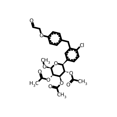 CO[C@H]1O[C@@H](c2ccc(Cl)c(Cc3ccc(OCC=O)cc3)c2)[C@H](OC(C)=O)[C@@H](OC(C)=O)[C@@H]1OC(C)=O